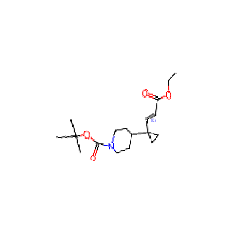 CCOC(=O)/C=C/C1(C2CCN(C(=O)OC(C)(C)C)CC2)CC1